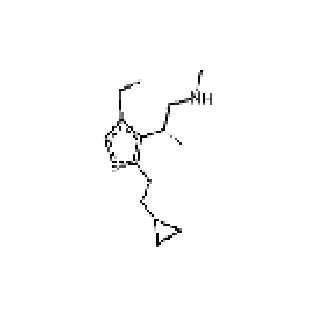 CCc1csc(CCC2CC2)c1[C@@H](C)CNC